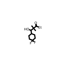 CCC(=O)C(C)(C)C(O)C1CCC(F)(F)CC1